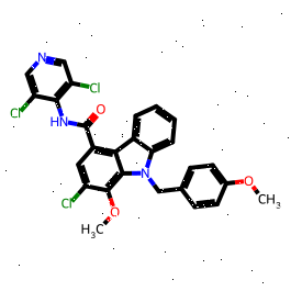 COc1ccc(Cn2c3ccccc3c3c(C(=O)Nc4c(Cl)cncc4Cl)cc(Cl)c(OC)c32)cc1